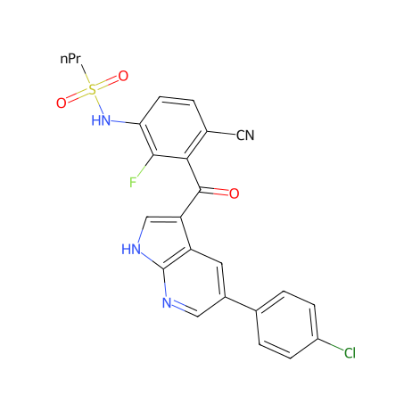 CCCS(=O)(=O)Nc1ccc(C#N)c(C(=O)c2c[nH]c3ncc(-c4ccc(Cl)cc4)cc23)c1F